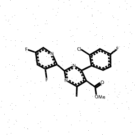 COC(=O)c1c(C)nc(-c2ncc(F)cc2F)nc1-c1ccc(F)cc1Cl